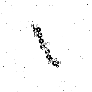 Cl.N#Cc1c[nH]c2c(N3CCC(c4ccc(N5CCO[C@H](CN6CCN(c7ccc8c(c7)CN(C7CCC(=O)NC7=O)C8=O)CC6)C5)cc4)CC3)ccc(F)c12